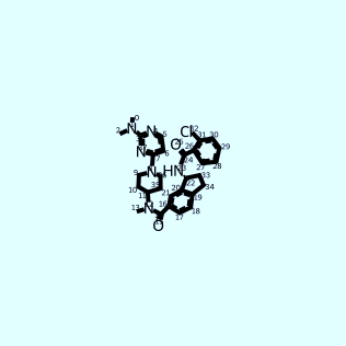 CN(C)c1nccc(N2CCC(N(C)C(=O)c3ccc4c(c3)[C@H](NC(=O)c3ccccc3Cl)CC4)CC2)n1